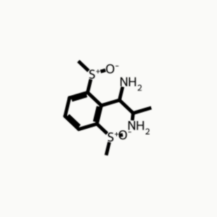 CC(N)C(N)c1c([S+](C)[O-])cccc1[S+](C)[O-]